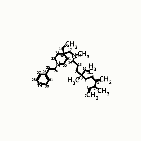 C=CC(C)C(=C)CC[C@](C)(CC)CCCN(C)CC1(CC)CCN(CCc2ccncc2)CC1